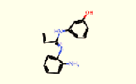 C=C/C(=N\c1ccccc1N)Nc1cccc(O)c1